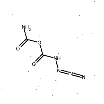 [N-]=[N+]=NNC(=O)OC(N)=O